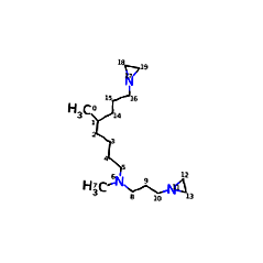 CC(CCCCN(C)CCCN1CC1)CCCN1CC1